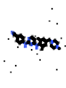 Cc1cc(CN2CCN(C)CC2)cc(C)c1Nc1ccnc(Nc2ccc(C#N)cc2)n1